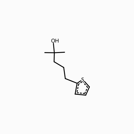 CC(C)(O)CCCc1cccs1